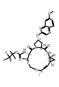 COc1ccc2ncc(O[C@@H]3C[C@H]4C(=O)N[C@@H]5C[C@H]5/C=C\[C@H](C)CCC[C@@H](C)[C@H](NC(=O)OC(C)(C)C(F)(F)F)C(=O)N4C3)nc2c1